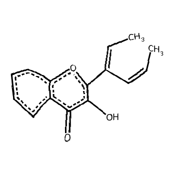 C/C=C\C(=C/C)c1oc2ccccc2c(=O)c1O